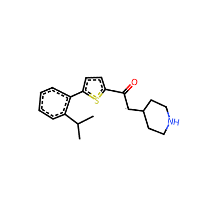 CC(C)c1ccccc1-c1ccc(C(=O)[CH]C2CCNCC2)s1